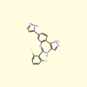 Fc1cccc(F)c1C1=Nc2cc(-c3ccn[nH]3)ccc2-c2[nH]ncc2N1